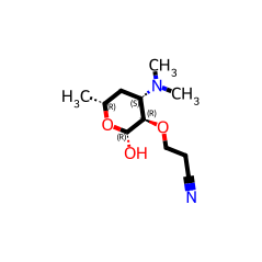 C[C@@H]1C[C@H](N(C)C)[C@@H](OCCC#N)[C@H](O)O1